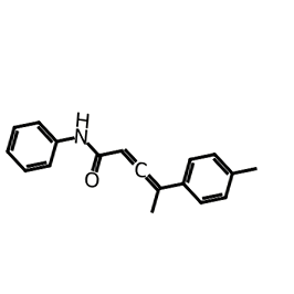 CC(=C=CC(=O)Nc1ccccc1)c1ccc(C)cc1